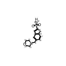 NS(=O)(=O)c1cc2cc(CN3CCOCC3)ccc2s1